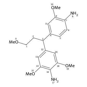 COCCC(c1ccc(N)c(OC)c1)c1cc(OC)c(N)c(OC)c1